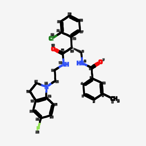 Cc1cccc(C(=O)NC[C@H](C(=O)NCCN2CCc3cc(F)ccc32)c2ccccc2Cl)c1